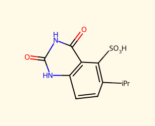 CC(C)c1ccc2[nH]c(=O)[nH]c(=O)c2c1S(=O)(=O)O